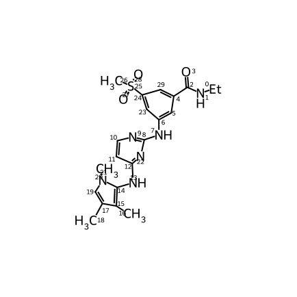 CCNC(=O)c1cc(Nc2nccc(Nc3c(C)c(C)cn3C)n2)cc(S(C)(=O)=O)c1